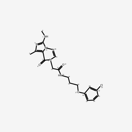 CNC1=NC(C)=C2C(=O)N(CC(=O)NCCCOc3cccc(Cl)c3)C=N[N+]12